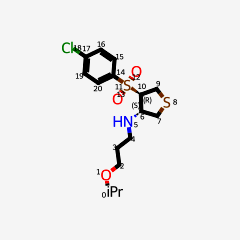 CC(C)OCCCN[C@H]1CSC[C@@H]1S(=O)(=O)c1ccc(Cl)cc1